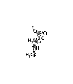 CCC(O)CNC(=O)COc1cccc(C2CC(c3ccc(F)cc3)=CC2C(=O)c2ccccc2O)c1OC